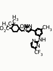 Cc1cc(Nc2nccc(C(F)(F)F)n2)cc(-c2cn(CC3(O)CCC(C(=O)O)C(C)(C)C3)nn2)c1